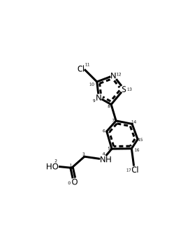 O=C(O)CNc1cc(-c2nc(Cl)ns2)ccc1Cl